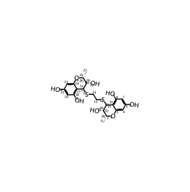 C[C@H]1Oc2cc(O)cc(O)c2[C@H](SCCS[C@H]2c3c(O)cc(O)cc3O[C@H](C)[C@@H]2O)[C@H]1O